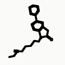 CCNCCCCCN1C(=O)Cc2cc(-c3ccccc3)ccc21